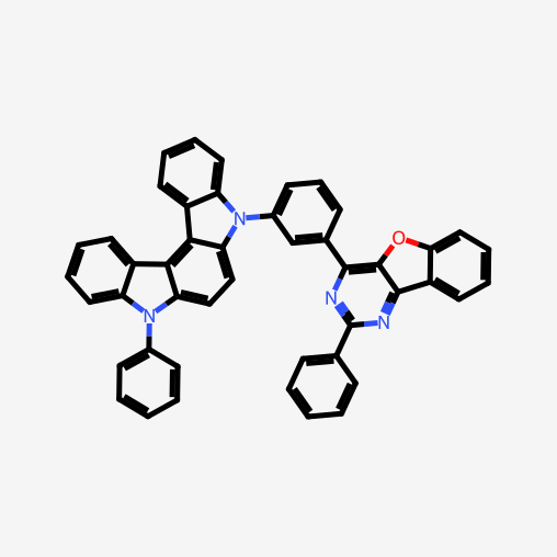 c1ccc(-c2nc(-c3cccc(-n4c5ccccc5c5c6c7ccccc7n(-c7ccccc7)c6ccc54)c3)c3oc4ccccc4c3n2)cc1